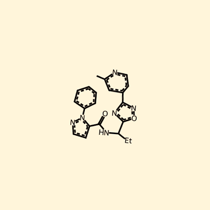 CCC(NC(=O)c1ccnn1-c1ccccc1)c1nc(-c2ccnc(C)c2)no1